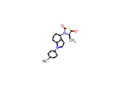 C=C1C(=O)SC(=O)N1c1cccc2c1ccn2-c1ccc(C#N)cc1